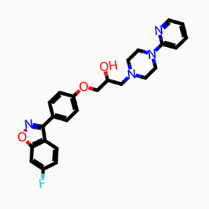 OC(COc1ccc(-c2noc3cc(F)ccc23)cc1)CN1CCN(c2ccccn2)CC1